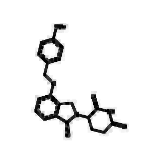 CSc1ccc(COc2cccc3c2CN(C2CCC(=O)NC2=O)C3=O)cc1